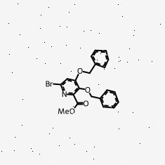 COC(=O)c1nc(Br)cc(OCc2ccccc2)c1OCc1ccccc1